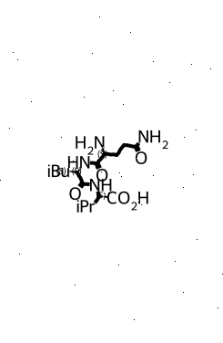 CC[C@H](C)[C@H](NC(=O)[C@@H](N)CCC(N)=O)C(=O)N[C@H](C(=O)O)C(C)C